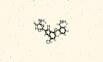 CNC(N)=NC(=O)c1cc2c(Cl)ccc(Oc3ccccc3CN)c2[nH]1